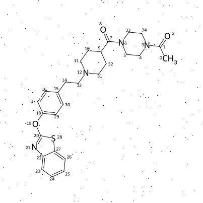 CC(=O)N1CCN(C(=O)C2CCN(CCc3ccc(Oc4nc5ccccc5s4)cc3)CC2)CC1